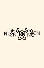 N#CC(C#N)=c1cc/c(=C/c2ccc(-c3ccc(-c4ccc(/C=c5/ccc(=C(C#N)C#N)s5)s4)c4nc(-c5ccccc5)c(-c5ccccc5)nc34)s2)s1